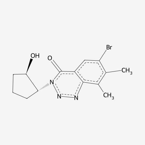 Cc1c(Br)cc2c(=O)n([C@@H]3CCC[C@H]3O)nnc2c1C